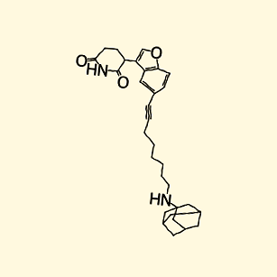 O=C1CCC(c2coc3ccc(C#CCCCCCCNC45CC6CC(CC(C6)C4)C5)cc23)C(=O)N1